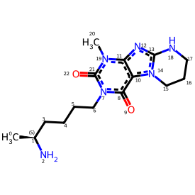 C[C@H](N)CCCCn1c(=O)c2c(nc3n2CCCN3)n(C)c1=O